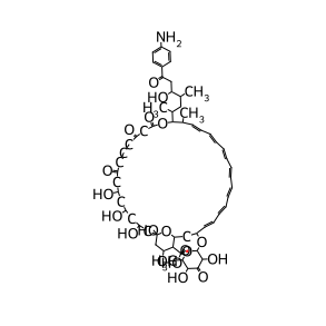 CC1/C=C/C=C/C=C/C=C/C=C/C=C/C=C/C(OC2OC(C)C(O)C(=O)C2O)CC2OC(O)(CC(O)CC(O)CC(O)CC(=O)CCCC(=O)CC(=O)OC1C(C)CC(C)C(O)CC(=O)c1ccc(N)cc1)CC(O)C2C(=O)O